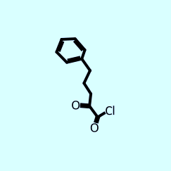 O=C(Cl)C(=O)CCCc1ccccc1